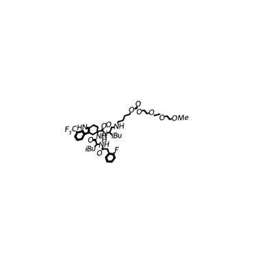 CCC(C)C(NC(=O)Cc1ccccc1F)C(=O)NC1(C(=O)NC(C(=O)NCCCCOC(=O)OCCOCCOCCOC)C(C)CC)CCc2[nH]c3c(C(F)(F)F)cccc3c2C1